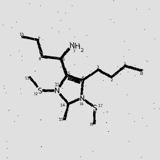 CCCCC1=C(C(N)CCC)N(SC)C(C)N1SC